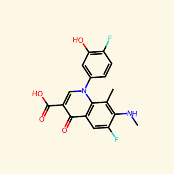 CNc1c(F)cc2c(=O)c(C(=O)O)cn(-c3ccc(F)c(O)c3)c2c1C